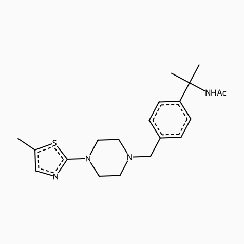 CC(=O)NC(C)(C)c1ccc(CN2CCN(c3ncc(C)s3)CC2)cc1